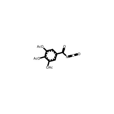 CC(=O)Oc1cc(C(=O)N=C=O)cc(OC(C)=O)c1OC(C)=O